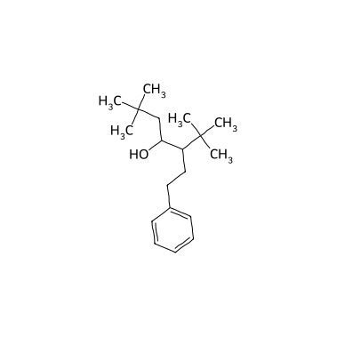 CC(C)(C)CC(O)C(CCc1ccccc1)C(C)(C)C